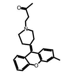 CC(=O)CCN1CCC(=C2c3ccccc3Oc3cc(C)ccc32)CC1